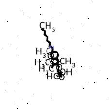 CCCCCCC/C=C/C1(C)CCc2c(C)c(OCP(=O)(O)O)c(C)c(C)c2O1